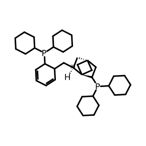 C1=CC(C[C@H]2C[C@]34CC(P(C5CCCCC5)C5CCCCC5)[C@]2(C3)C4)C(P(C2CCCCC2)C2CCCCC2)C=C1